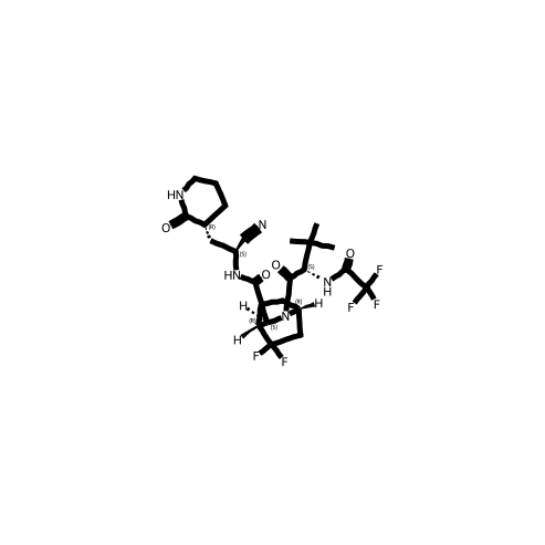 CC(C)(C)[C@H](NC(=O)C(F)(F)F)C(=O)N1[C@@H]2CC[C@H]([C@H]1C(=O)N[C@H](C#N)C[C@H]1CCCNC1=O)C(F)(F)C2